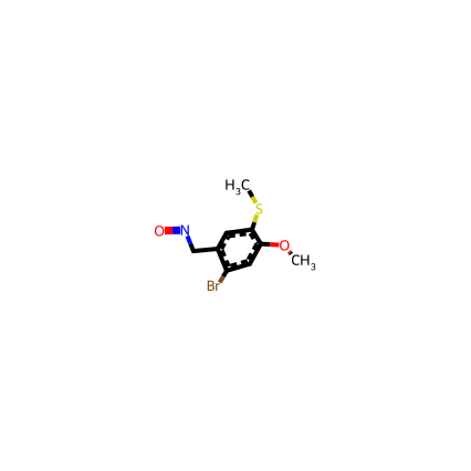 COc1cc(Br)c(CN=O)cc1SC